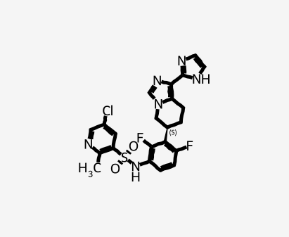 Cc1ncc(Cl)cc1S(=O)(=O)Nc1ccc(F)c([C@@H]2CCc3c(-c4ncc[nH]4)ncn3C2)c1F